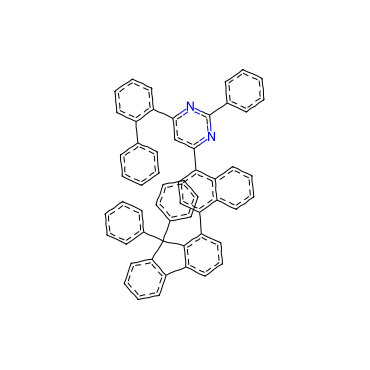 c1ccc(-c2nc(-c3ccccc3-c3ccccc3)cc(-c3ccc(-c4cccc5c4C(c4ccccc4)(c4ccccc4)c4ccccc4-5)c4ccccc34)n2)cc1